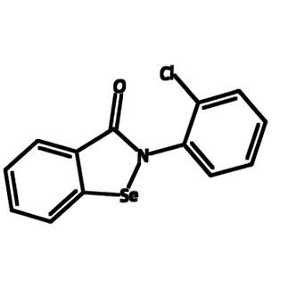 O=c1c2ccccc2[se]n1-c1ccccc1Cl